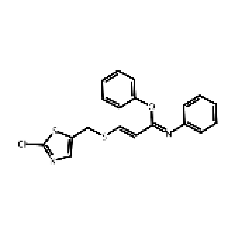 Clc1ncc(CSC=CC(=Nc2ccccc2)Oc2ccccc2)s1